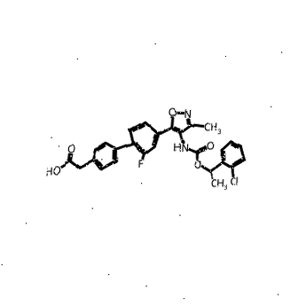 Cc1noc(-c2ccc(-c3ccc(CC(=O)O)cc3)c(F)c2)c1NC(=O)O[C@H](C)c1ccccc1Cl